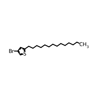 CCCCCCCCCCCCCCc1cc(Br)cs1